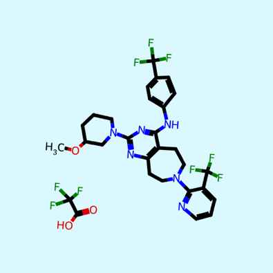 COC1CCCN(c2nc3c(c(Nc4ccc(C(F)(F)F)cc4)n2)CCN(c2ncccc2C(F)(F)F)CC3)C1.O=C(O)C(F)(F)F